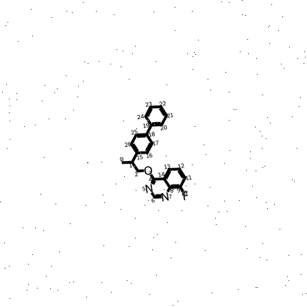 CC(COc1ncnc2c(F)cccc12)c1ccc(-c2ccccc2)cc1